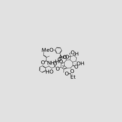 C/C=C(\C)C(=O)N[C@@H](c1ccccc1)[C@@H](O)C(=O)O[C@H]1C[C@@]2(O)[C@@H](OC(=O)c3cccc(OC)c3)C3[C@](C)(C(=O)[C@H](OC(=O)CC)C(=C1C)C2(C)C)[C@@H](O)C[C@H]1OC[C@@]31OC(C)=O